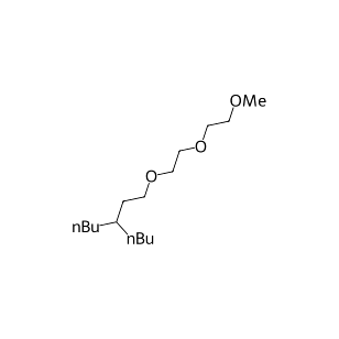 CCCCC(CCCC)CCOCCOCCOC